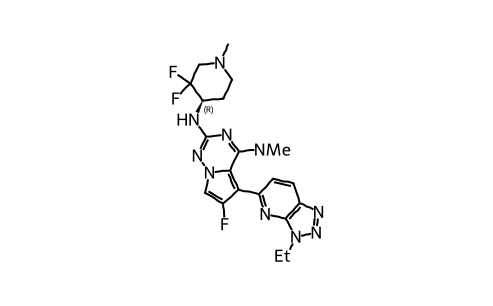 CCn1nnc2ccc(-c3c(F)cn4nc(N[C@@H]5CCN(C)CC5(F)F)nc(NC)c34)nc21